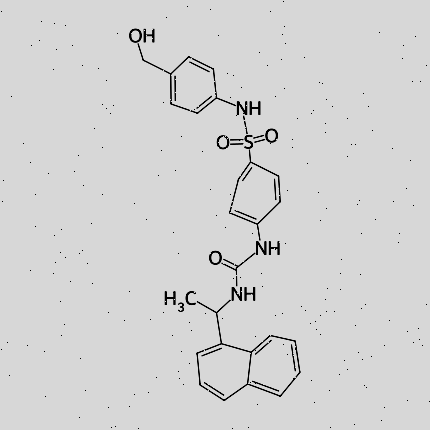 CC(NC(=O)Nc1ccc(S(=O)(=O)Nc2ccc(CO)cc2)cc1)c1cccc2ccccc12